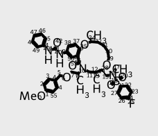 COc1ccc(COC[C@H](C)N2C[C@@H](C)[C@H](CN(C)S(=O)(=O)c3ccc(F)cc3)OCCCC[C@H](C)Oc3ccc(NC(=O)Nc4ccccc4)cc3C2=O)cc1